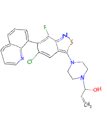 C=CC(O)N1CCN(c2snc3c(F)c(-c4cccc5cccnc45)c(Cl)cc23)CC1